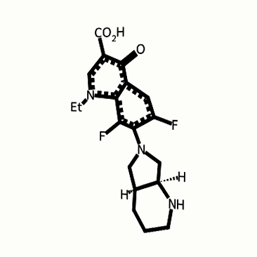 CCn1cc(C(=O)O)c(=O)c2cc(F)c(N3C[C@@H]4CCCN[C@@H]4C3)c(F)c21